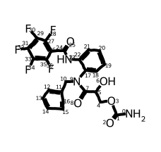 NC(=O)OCC(O)C(=O)N(Cc1ccccc1)c1ccccc1NC(=O)c1c(F)c(F)c(F)c(F)c1F